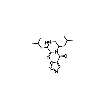 CC(C)CC1NCC(CC(C)C)N(C(=O)c2cnno2)C1=O